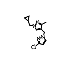 Cc1nn(CC2CC2)cc1Cn1ccc(Cl)n1